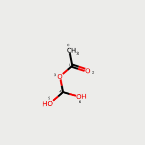 CC(=O)OC(O)O